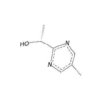 Cc1cnc([C@@H](C)O)nc1